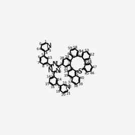 c1cncc(-c2cccc(-c3nc(-c4cccc(-c5cccnc5)c4)nc(-c4ccc5c(c4)-c4ccc6ccccc6c4Sc4ccccc4-c4ccccc4-c4ccccc4-5)n3)c2)c1